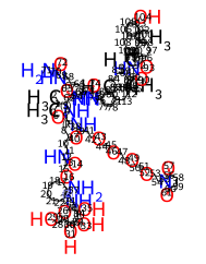 CC(C)[C@H](NC(=O)[C@@H](CCCCNC(=O)COC1CCCCC/C(N[C@@H]2O[C@H](CO)[C@H](O)[C@H](O)[C@H]2O)=C\1N)NC(=O)CCOCCOCCOCCOCCN1C(=O)C=CC1=O)C(=O)N[C@@H](CCCNC(N)=O)C(=O)Nc1ccc2c(c1)[C@@]1(C)CCC[C@](C)(C(=O)NC(=O)[C@@]3(C)CCC[C@]4(C)c5cc(O)ccc5CC[C@@H]34)[C@@H]1CC2